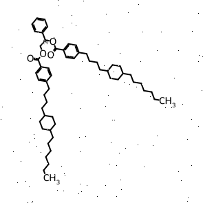 CCCCCCCC1CCC(CCCCc2ccc(C(=O)OC[C@H](OC(=O)c3ccc(CCCCC4CCC(CCCCCCC)CC4)cc3)c3ccccc3)cc2)CC1